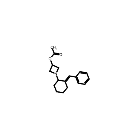 CC(=O)OC1CN(C2CCCCC2=Cc2ccccc2)C1